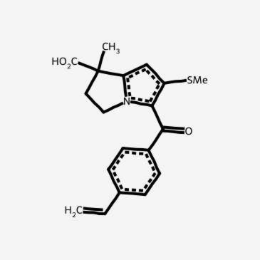 C=Cc1ccc(C(=O)c2c(SC)cc3n2CCC3(C)C(=O)O)cc1